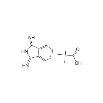 CC(C)(C)C(=O)O.N=C1NC(=N)c2ccccc21